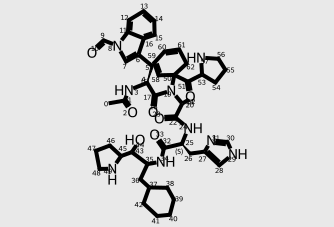 CC(=O)N[C@@H](Cc1cn(C=O)c2ccccc12)C(=O)N(C(C)C(=O)N[C@@H](Cc1c[nH]cn1)C(=O)NC(CC1CCCCC1)C(O)C1CCCN1)C1(C(=O)C2CCCN2)C=CC=CC1